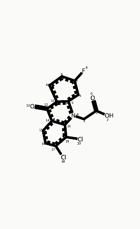 O=C(O)Cn1c2cc(F)ccc2c(=O)c2ccc(Cl)c(Cl)c21